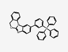 c1ccc([Si](c2ccccc2)(c2ccccc2)c2cccc(-c3ccc4nc5n(c4c3)-c3ccccc3CO5)c2)cc1